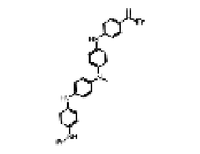 CC(C)Nc1ccc(Nc2ccc(N(C)c3ccc(Nc4ccc(NC(C)C)cc4)cc3)cc2)cc1